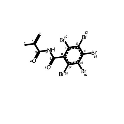 C=C(C)C(=O)NC(=O)c1c(Br)c(Br)c(Br)c(Br)c1Br